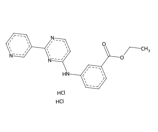 CCOC(=O)c1cccc(Nc2ccnc(-c3cccnc3)n2)c1.Cl.Cl